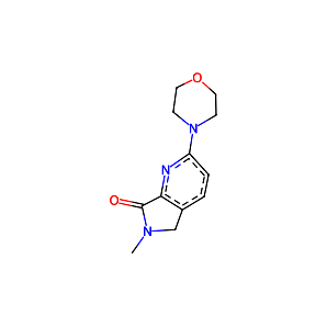 CN1Cc2ccc(N3CCOCC3)nc2C1=O